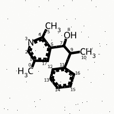 Cc1cnc(C)c(C(O)C(C)c2ccccc2)c1